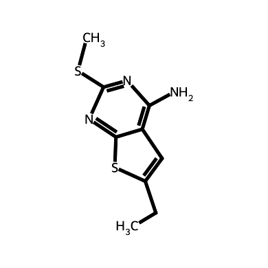 CCc1cc2c(N)nc(SC)nc2s1